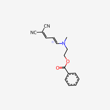 CN(/C=C/C=C(C#N)C#N)CCOC(=O)c1ccccc1